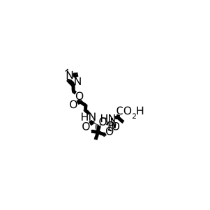 CC(N[P@@]1(=O)OCC(C)(C)[C@H](C(=O)NCCC(=O)OCc2cn(C)cn2)O1)C(=O)O